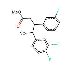 COC(=O)CC(c1cccc(F)c1)C(C#N)c1ccc(F)c(F)c1